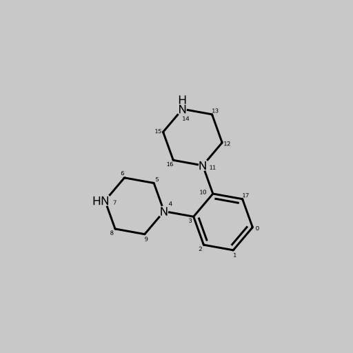 c1ccc(N2CCNCC2)c(N2CCNCC2)c1